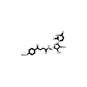 COc1ccc(C(=O)CCC(=O)NC[C@@H]2O[C@H](n3ccc(=O)[nH]c3=O)C(O)C2O)cc1